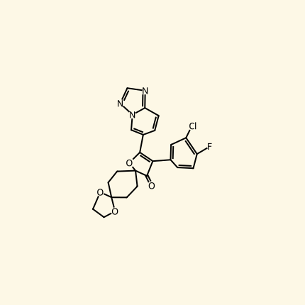 O=C1C(c2ccc(F)c(Cl)c2)=C(c2ccc3ncnn3c2)OC12CCC1(CC2)OCCO1